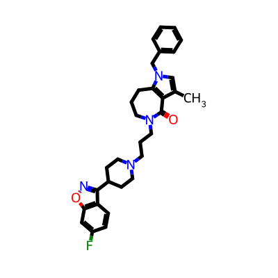 Cc1cn(Cc2ccccc2)c2c1C(=O)N(CCCN1CCC(c3noc4cc(F)ccc34)CC1)CCC2